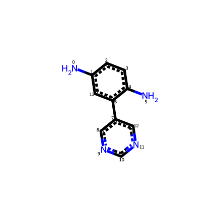 Nc1ccc(N)c(-c2cncnc2)c1